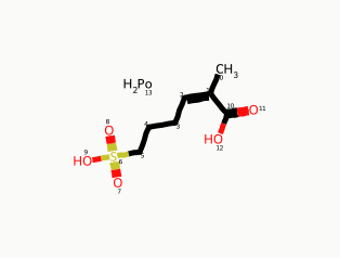 CC(=CCCCS(=O)(=O)O)C(=O)O.[PoH2]